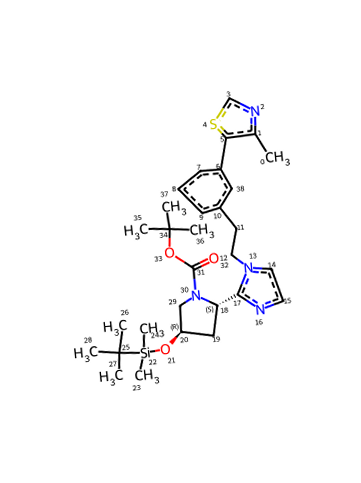 Cc1ncsc1-c1cccc(CCn2ccnc2[C@@H]2C[C@@H](O[Si](C)(C)C(C)(C)C)CN2C(=O)OC(C)(C)C)c1